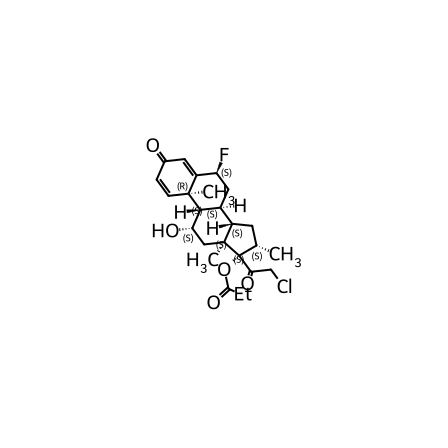 CCC(=O)O[C@@]1(C(=O)CCl)[C@@H](C)C[C@H]2[C@@H]3C[C@H](F)C4=CC(=O)C=C[C@]4(C)[C@H]3[C@@H](O)C[C@@]21C